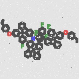 C=Cc1ccc(Oc2ccc(C3(c4ccc(F)cc4)c4ccccc4-c4ccc(/C(=C\c5ccc6c(c5)C5(c7ccccc7-6)c6ccccc6-c6ccc(N(c7ccc8c(c7)C(c7ccc(F)cc7)(c7ccc(Oc9ccc(C=C)cc9)cc7)c7ccccc7-8)c7ccc(F)cc7F)cc65)c5ccc(F)cc5F)cc43)cc2)cc1